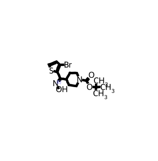 CC(C)(C)OC(=O)N1CCC(/C(=N\O)c2sccc2Br)CC1